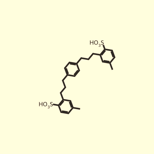 Cc1ccc(S(=O)(=O)O)c(CCCc2ccc(CCCc3cc(C)ccc3S(=O)(=O)O)cc2)c1